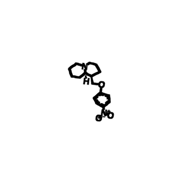 O=[N+]([O-])c1ccc(OC[C@@H]2CCCN3CCCC[C@H]23)cc1